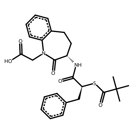 CC(C)(C)C(=O)S[C@@H](Cc1ccccc1)C(=O)N[C@H]1CCc2ccccc2N(CC(=O)O)C1=O